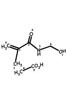 C=C(C)C(=O)NCO.CC(=O)O